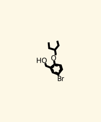 CCC(CC)COc1ccc(Br)cc1CO